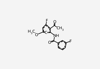 COc1cc(F)c(C(C)=O)c(NC(=O)c2cccc(F)c2)c1